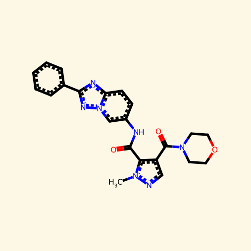 Cn1ncc(C(=O)N2CCOCC2)c1C(=O)Nc1ccc2nc(-c3ccccc3)nn2c1